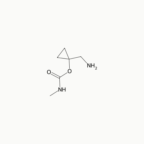 CNC(=O)OC1(CN)CC1